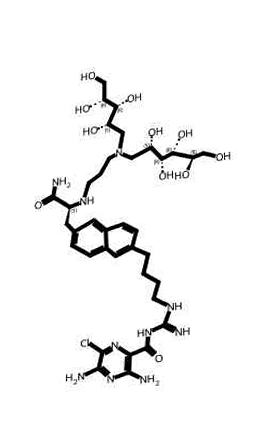 N=C(NCCCCc1ccc2cc(C[C@H](NCCCN(C[C@H](O)[C@@H](O)[C@H](O)[C@H](O)CO)C[C@H](O)[C@@H](O)[C@H](O)CO)C(N)=O)ccc2c1)NC(=O)c1nc(Cl)c(N)nc1N